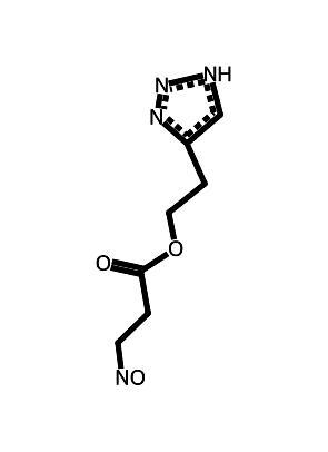 O=NCCC(=O)OCCc1c[nH]nn1